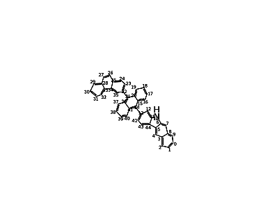 c1ccc2cc3c(cc2c1)[nH]c1cc(-c2c4ccccc4c(-c4ccc5ccc6ccccc6c5c4)c4ccccc24)ccc13